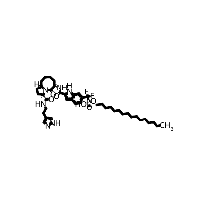 CCCCCCCCCCCCCCCCOP(=O)(O)C(F)(F)c1ccc2cc(C(=O)N[C@H]3CCCC[C@H]4CC[C@@H](C(=O)NCCc5cn[nH]c5)N4C3=O)[nH]c2c1